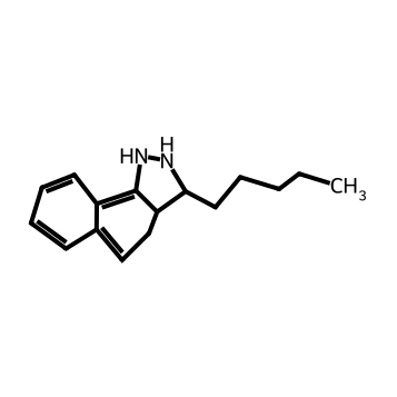 CCCCCC1NNC2=c3ccccc3=CCC21